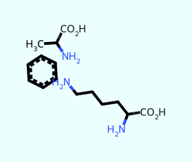 CC(N)C(=O)O.NCCCCC(N)C(=O)O.c1ccccc1